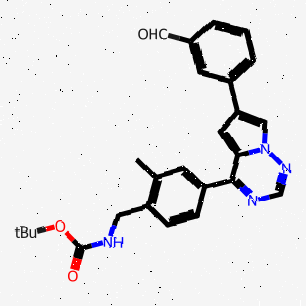 Cc1cc(-c2ncnn3cc(-c4cccc(C=O)c4)cc23)ccc1CNC(=O)OC(C)(C)C